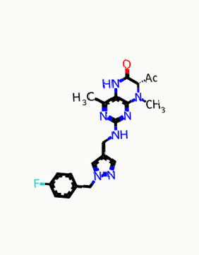 CC(=O)[C@H]1C(=O)Nc2c(C)nc(NCc3cnn(Cc4ccc(F)cc4)c3)nc2N1C